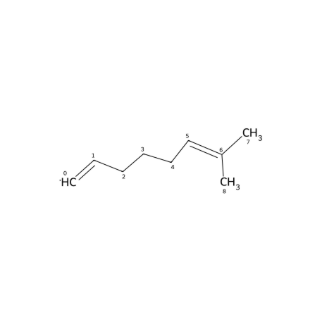 [CH]=CCCCC=C(C)C